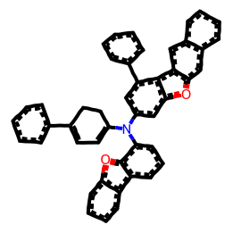 C1=C(c2ccccc2)CCC(N(c2cc(-c3ccccc3)c3c(c2)oc2cc4ccccc4cc23)c2cccc3c2oc2ccccc23)=C1